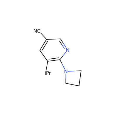 CC(C)c1cc(C#N)cnc1N1CCC1